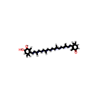 CC1=C(/C=C/C(C)=C/C=C/C(C)=C/C=C/C=C(C)/C=C/C=C(C)/C=C/C2=C(C)C(=O)[C@@H](O)CC2(C)C)C(C)(C)CCC1=O